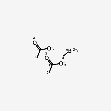 CC(=O)[O-].CC(=O)[O-].[CH3][Bi+2]